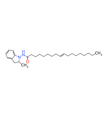 CCCCCCCCC=CCCCCCCCC(=O)NN1c2ccccc2CC1C